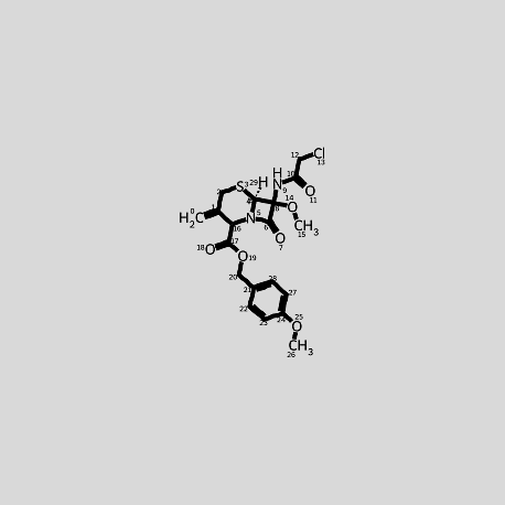 C=C1CS[C@@H]2N(C(=O)C2(NC(=O)CCl)OC)C1C(=O)OCc1ccc(OC)cc1